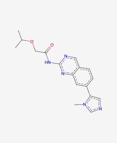 CC(C)OCC(=O)Nc1ncc2ccc(-c3cncn3C)cc2n1